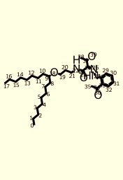 CCCCCCCCCC(CCCCCCCC)OCCCNC(=O)/C(=N\Nc1ccccc1C(C)=O)C(C)=O